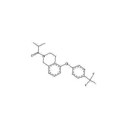 CC(C)C(=O)N1CCc2c(cccc2Oc2ccc(C(C)(F)F)cc2)C1